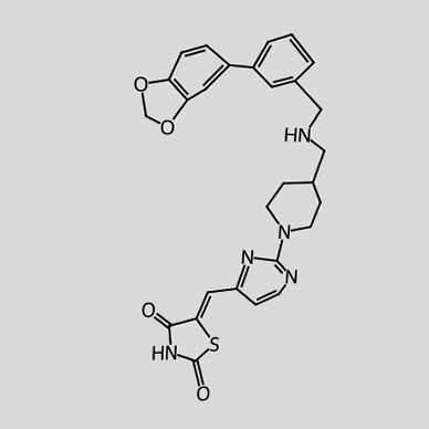 O=C1NC(=O)/C(=C/c2ccnc(N3CCC(CNCc4cccc(-c5ccc6c(c5)OCO6)c4)CC3)n2)S1